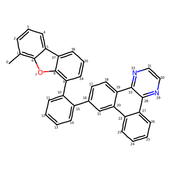 Cc1cccc2c1oc1c(-c3ccccc3-c3ccc4c(c3)c3ccccc3c3nccnc43)cccc12